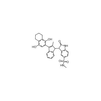 CNS(=O)(=O)c1ccc2c(c1)C(C1C(C)=C(c3cc(O)c4c(c3O)CCCC4)c3ccccc31)C(=O)N2